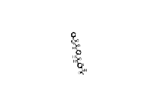 CC(=O)Nc1ccc(NC(=O)Nc2cccc(NC(=O)N3CCN(c4ccccc4)C3=O)c2)cn1